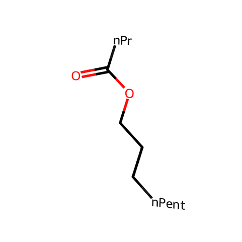 [CH2]CCCCCCCOC(=O)CCC